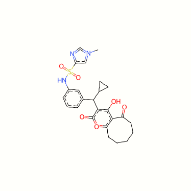 Cn1cnc(S(=O)(=O)Nc2cccc(C(c3c(O)c4c(oc3=O)CCCCCC4=O)C3CC3)c2)c1